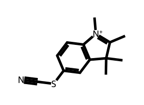 CC1=[N+](C)c2ccc(SC#N)cc2C1(C)C